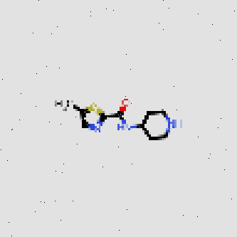 Cc1cnc(C(=O)NC2CCNCC2)s1